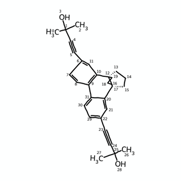 CC(C)(O)C#Cc1ccc2c(c1)[C@]13CCC[C@]1(CCC3)c1cc(C#CC(C)(C)O)ccc1-2